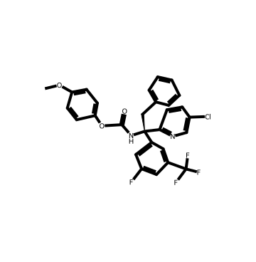 COc1ccc(OC(=O)N[C@@](Cc2ccccc2)(c2cc(F)cc(C(F)(F)F)c2)c2ccc(Cl)cn2)cc1